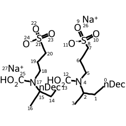 CCCCCCCCCCCC(C)N(CCCS(=O)(=O)[O-])C(=O)O.CCCCCCCCCCCC(C)N(CCCS(=O)(=O)[O-])C(=O)O.[Na+].[Na+]